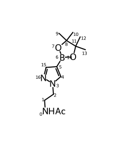 CC(=O)NCCn1cc(B2OC(C)(C)C(C)(C)O2)cn1